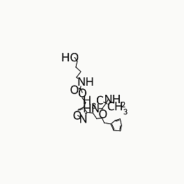 CC(C)(N)C(=O)NC(CCCc1ccccc1)c1nocc1CCOC(=O)NCCCCO